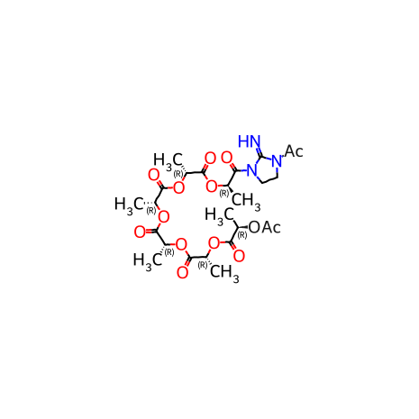 CC(=O)O[C@H](C)C(=O)O[C@H](C)C(=O)O[C@H](C)C(=O)O[C@H](C)C(=O)O[C@H](C)C(=O)O[C@H](C)C(=O)N1CCN(C(C)=O)C1=N